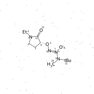 CCN1CC[C@@H](O/N=[N+](\[O-])N(C)C(C)(C)C)C1=O